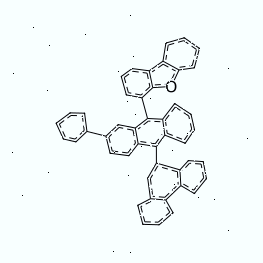 c1ccc(-c2ccc3c(-c4cc5ccccc5c5ccccc45)c4ccccc4c(-c4cccc5c4oc4ccccc45)c3c2)cc1